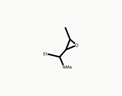 CCC(NC)C1OC1C